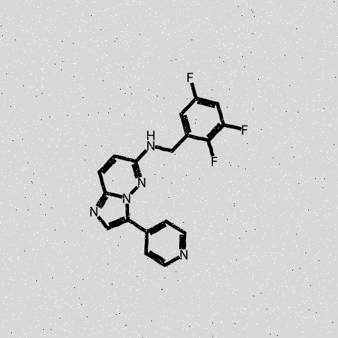 Fc1cc(F)c(F)c(CNc2ccc3ncc(-c4ccncc4)n3n2)c1